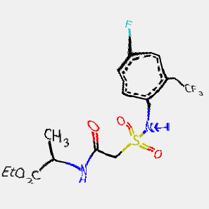 CCOC(=O)C(C)NC(=O)CS(=O)(=O)Nc1ccc(F)cc1C(F)(F)F